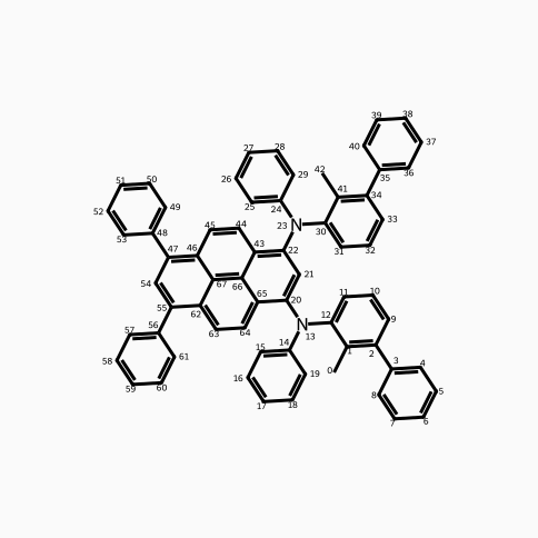 Cc1c(-c2ccccc2)cccc1N(c1ccccc1)c1cc(N(c2ccccc2)c2cccc(-c3ccccc3)c2C)c2ccc3c(-c4ccccc4)cc(-c4ccccc4)c4ccc1c2c43